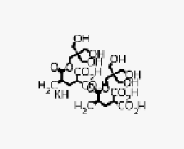 C=C(CC(C(=O)O)C(=O)O)C(=O)OCC(CO)(CO)CO.C=C(CC(C(=O)O)C(=O)O)C(=O)OCC(CO)(CO)CO.[KH]